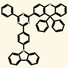 c1ccc(-c2nc(-c3ccc(-n4c5ccccc5c5ccccc54)cc3)nc(-c3ccc4c(c3)C(c3ccccc3)(c3ccccc3)c3ccccc3O4)n2)cc1